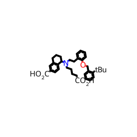 CC(C)(C)c1ccccc1COc1ccccc1CCN(CCCCC(=O)O)C1CCCc2cc(C(=O)O)ccc21